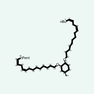 CCCC/C=C\C/C=C\CCCCCCCCO[C@H]1CC[C@@H](C)C[C@H]1OCCCCCCCC/C=C\C/C=C\CCCCC